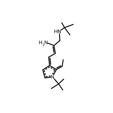 C\C=c1/c(=C\C=C(/N)CNC(C)(C)C)ccn1C(C)(C)C